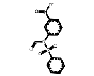 O=CN(c1cccc([N+](=O)[O-])c1)S(=O)(=O)c1ccccc1